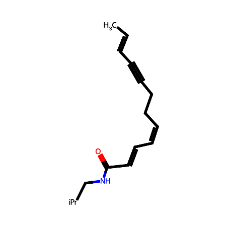 CC=CC#CCC/C=C\C=C\C(=O)NCC(C)C